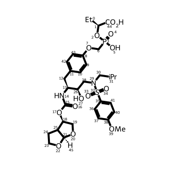 CC[C@H](OP(=O)(O)COc1ccc(C[C@H](NC(=O)O[C@H]2CO[C@H]3OCCC32)[C@H](O)CN(CC(C)C)S(=O)(=O)c2ccc(OC)cc2)cc1)C(=O)O